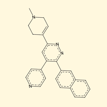 CN1CC=C(c2cc(-c3ccncc3)c(-c3ccc4ccccc4c3)nn2)CC1